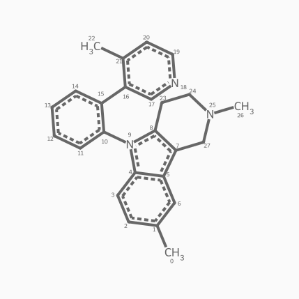 Cc1ccc2c(c1)c1c(n2-c2ccccc2-c2cnccc2C)CCN(C)C1